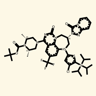 CC(C)[Si](c1sc([SH]2C[C@@H](n3nc4ccccn4c3=O)Cn3c(=O)nc(N4C[C@@H](C)N(C(=O)OC(C)(C)C)[C@@H](C)C4)c4cc(C(F)(F)F)cc2c43)cc1Cl)(C(C)C)C(C)C